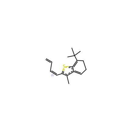 C=C/C=C\c1sc2c(c1C)=CCCC=2C(C)(C)C